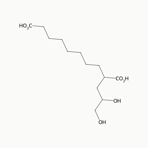 O=C(O)CCCCCCCC(CC(O)CO)C(=O)O